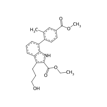 CCOC(=O)c1[nH]c2c(-c3ccc(C(=O)OC)cc3C)cccc2c1CCCO